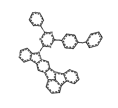 c1ccc(-c2ccc(-c3nc(-c4ccccc4)nc(-n4c5ccccc5c5cc6c7cccc8c9ccccc9n(c6cc54)c87)n3)cc2)cc1